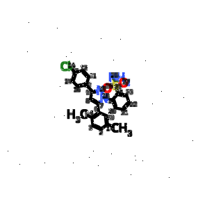 Cc1ccc(C)c(-c2cc(-c3ccc(Cl)cc3)nn2-c2ccccc2S(N)(=O)=O)c1